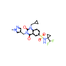 Cn1cc(Cn2c(=O)c3cc(S(=O)(=O)NC4(C(F)F)CC4)ccc3n(CC3CC3)c2=O)cn1